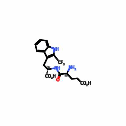 N[C@@H](CCC(=O)O)C(=O)N[C@@H](Cc1c(C(F)(F)F)[nH]c2ccccc12)C(=O)O